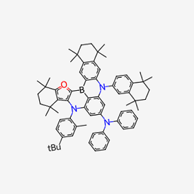 Cc1cc(C(C)(C)C)ccc1N1c2cc(N(c3ccccc3)c3ccccc3)cc3c2B(c2cc4c(cc2N3c2ccc3c(c2)C(C)(C)CCC3(C)C)C(C)(C)CCC4(C)C)c2oc3c(c21)C(C)(C)CCC3(C)C